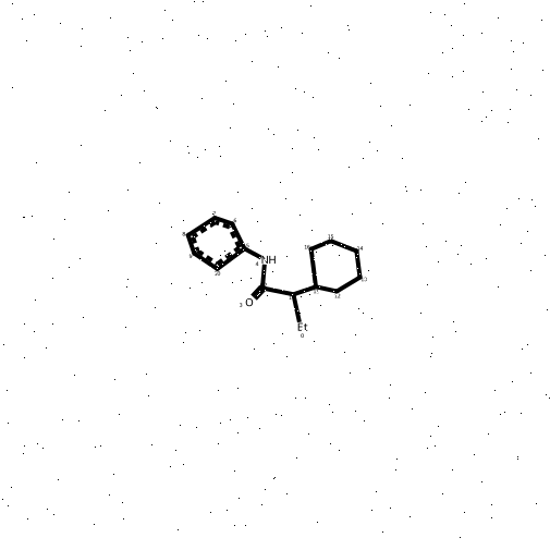 CCC(C(=O)Nc1ccccc1)C1CCCCC1